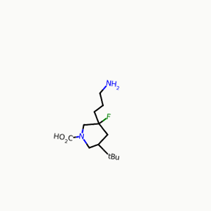 CC(C)(C)C1CN(C(=O)O)CC(F)(CCCN)C1